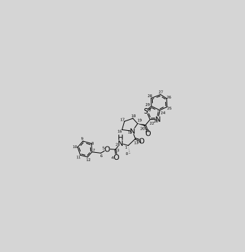 C[C@H](NC(=O)OCc1ccccc1)C(=O)N1CCC[C@H]1C(=O)c1nc2ccccc2s1